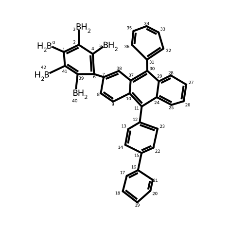 Bc1c(B)c(B)c(-c2ccc3c(-c4ccc(-c5ccccc5)cc4)c4ccccc4c(-c4ccccc4)c3c2)c(B)c1B